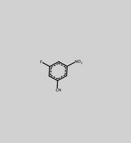 N#Cc1cc(F)cc([N+](=O)[O-])c1